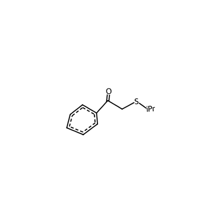 CC(C)SCC(=O)c1ccccc1